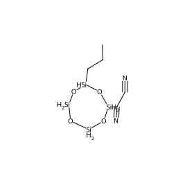 CCC[SiH]1O[SiH2]O[SiH2]O[SiH2]O1.N#CC#N